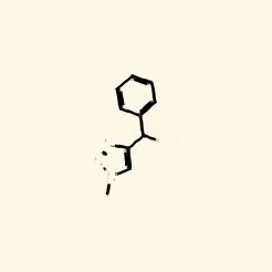 Cn1cc(C(O)c2ccccc2)nn1